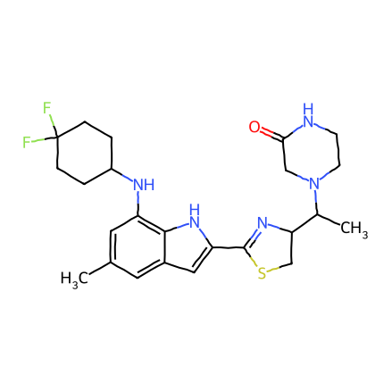 Cc1cc(NC2CCC(F)(F)CC2)c2[nH]c(C3=NC(C(C)N4CCNC(=O)C4)CS3)cc2c1